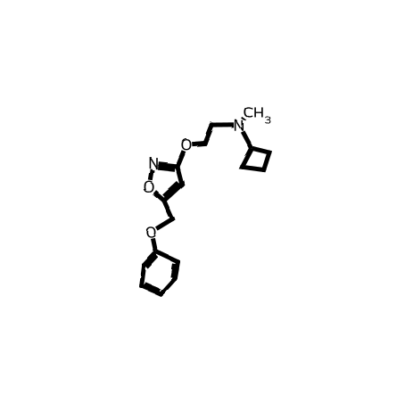 CN(CCOc1cc(COc2ccccc2)on1)C1CCC1